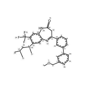 COCc1cc(-c2cccc(C3=Nc4cc(N(C)CC(C)C)c(C(F)(F)F)cc4NC(=O)C3)c2)ccn1